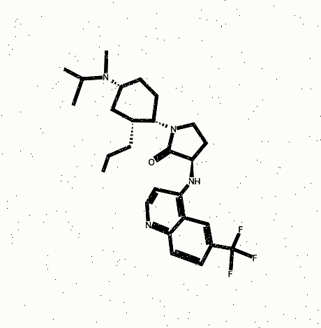 CCC[C@@H]1C[C@H](N(C)C(C)C)CC[C@@H]1N1CC[C@@H](Nc2ccnc3ccc(C(F)(F)F)cc23)C1=O